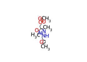 Cc1ccc(CNc2nc(C)c(CCOS(C)(=O)=O)c(=O)n2C)o1